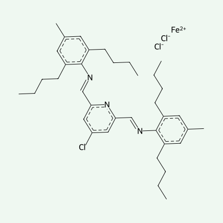 CCCCc1cc(C)cc(CCCC)c1N=Cc1cc(Cl)cc(C=Nc2c(CCCC)cc(C)cc2CCCC)n1.[Cl-].[Cl-].[Fe+2]